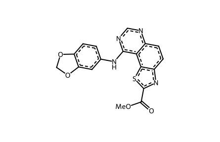 COC(=O)c1nc2ccc3ncnc(Nc4ccc5c(c4)OCO5)c3c2s1